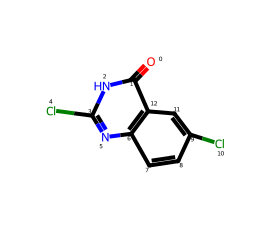 O=c1[nH]c(Cl)nc2ccc(Cl)cc12